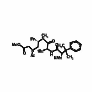 CNC(C(=O)N[C@H](C(=O)N(C)[C@H](CN(CC(=O)OC)C(C)=O)C(C)C)C(C)(C)C)C(C)(C)c1ccccc1